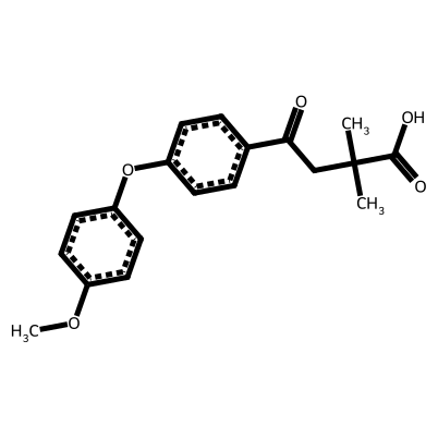 COc1ccc(Oc2ccc(C(=O)CC(C)(C)C(=O)O)cc2)cc1